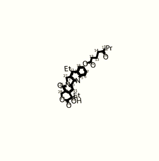 CCc1c2c(nc3ccc(OC(=O)CCCC(=O)C(C)C)cc13)-c1cc3c(c(=O)n1C2)COC(=O)[C@]3(O)CC